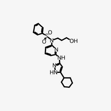 O=S(=O)(c1ccccc1)N(CCCO)c1cccc(Nc2cc(C3CCCCC3)[nH]n2)n1